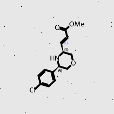 COC(=O)/C=C/[C@H]1COC[C@@H](c2ccc(Cl)cc2)N1